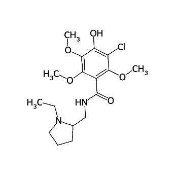 CCN1CCCC1CNC(=O)c1c(OC)c(Cl)c(O)c(OC)c1OC